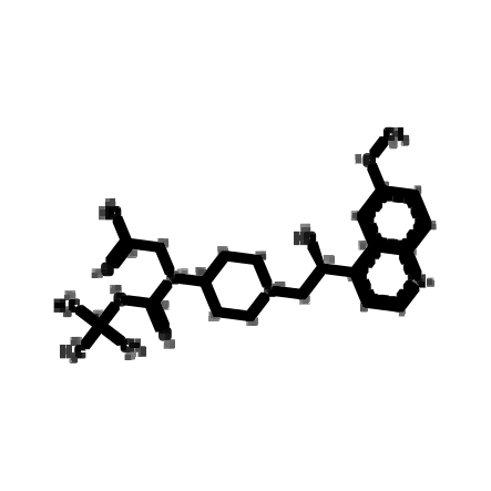 COc1ccc2nccc([C@H](O)CN3CCC(N(CC(=O)O)C(=O)OC(C)(C)C)CC3)c2c1